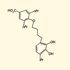 CCCc1cc(C(=O)O)cc(CCC)c1OCCCCc1ccc(C(C)C)c(O)c1O